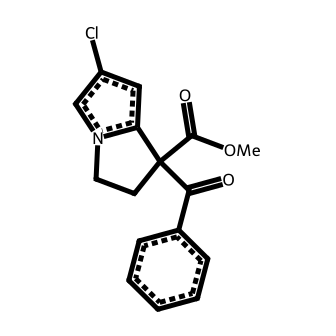 COC(=O)C1(C(=O)c2ccccc2)CCn2cc(Cl)cc21